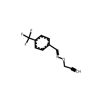 C#CCON=[C]c1ccc(C(F)(F)F)cc1